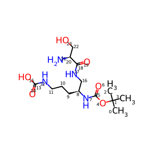 CC(C)(C)OC(=O)N[C@@H](CCCNC(=O)O)CNC(=O)[C@@H](N)CO